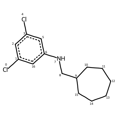 Clc1cc(Cl)cc(NCC2CCCCCC2)c1